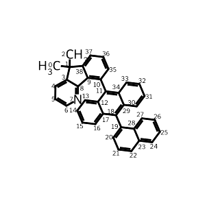 CC1(C)c2cccnc2-c2c(-c3c4ccccc4c(-c4cccc5ccccc45)c4ccccc34)cccc21